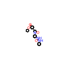 COc1ccc([C@H]2CC(=O)N(c3cccc(NC(=O)Nc4ccccc4)c3)C2)cc1OC1CCCC1